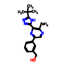 CC(C)(C)c1nnc(-c2nc(-c3cccc(CO)c3)cnc2[AsH2])[nH]1